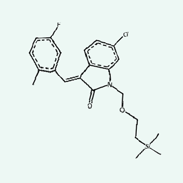 Cc1ccc(F)cc1C=C1C(=O)N(COCC[Si](C)(C)C)c2cc(Cl)ccc21